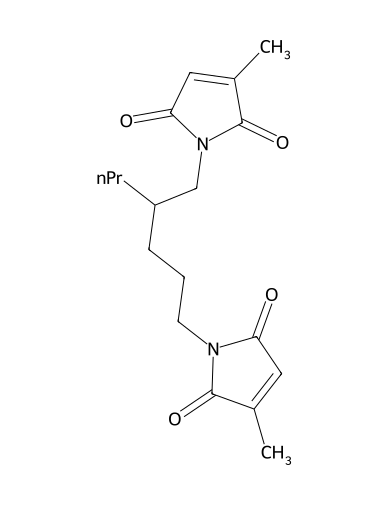 CCCC(CCCN1C(=O)C=C(C)C1=O)CN1C(=O)C=C(C)C1=O